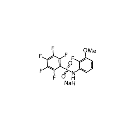 COc1cccc(NS(=O)(=O)c2c(F)c(F)c(F)c(F)c2F)c1F.[NaH]